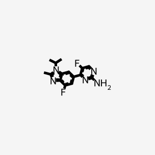 Cc1nc2c(F)cc(-c3nc(N)ncc3F)cc2n1C(C)C